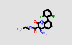 CCCNC(=O)c1c(N)c2cccc(-c3c(F)cccc3F)c2[nH]c1=O